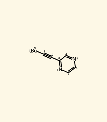 CC(C)(C)C#Cc1cnccn1